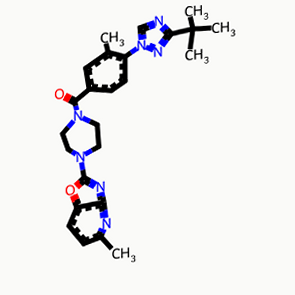 Cc1ccc2oc(N3CCN(C(=O)c4ccc(-n5cnc(C(C)(C)C)n5)c(C)c4)CC3)nc2n1